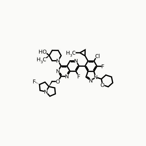 CC1CC1c1c(Cl)c(F)c2c(cnn2C2CCCCO2)c1-c1ncc2c(N3CCC[C@@](C)(O)C3)nc(OC[C@@]34CCCN3C[C@H](F)C4)nc2c1F